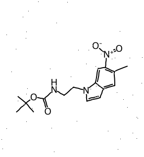 Cc1cc2ccn(CCNC(=O)OC(C)(C)C)c2cc1[N+](=O)[O-]